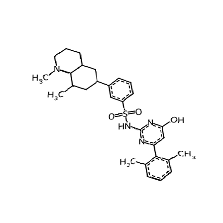 Cc1cccc(C)c1-c1cc(O)nc(NS(=O)(=O)c2cccc(C3CC(C)C4C(CCCN4C)C3)c2)n1